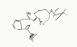 COCOc1ccccc1C(O)C=C1CCCC(O[Si](C)(C)C(C)(C)C)CCC1